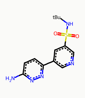 CC(C)(C)NS(=O)(=O)c1cncc(-c2ccc(N)nn2)c1